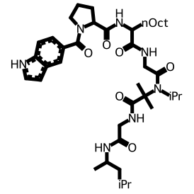 CCCCCCCCC(NC(=O)C1CCCN1C(=O)c1ccc2[nH]ccc2c1)C(=O)NCC(=O)N(C(C)C)C(C)(C)C(=O)NCC(=O)NC(C)CC(C)C